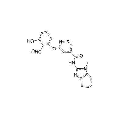 Cn1c(NC(=O)c2ccnc(Oc3cccc(O)c3C=O)c2)nc2ccccc21